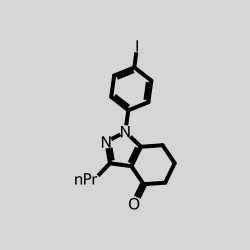 CCCc1nn(-c2ccc(I)cc2)c2c1C(=O)CCC2